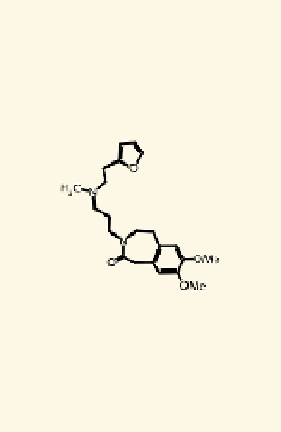 COc1cc2c(cc1OC)CC(=O)N(CCCN(C)CCc1ccco1)CC2